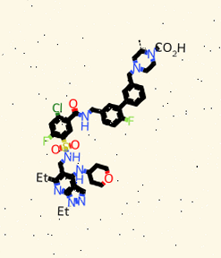 CCc1nc2c(cnn2CC)c(NC2CCOCC2)c1CNS(=O)(=O)c1cc(C(=O)NCc2ccc(F)c(-c3cccc(CN4CCN(C(=O)O)[C@@H](C)C4)c3)c2)c(Cl)cc1F